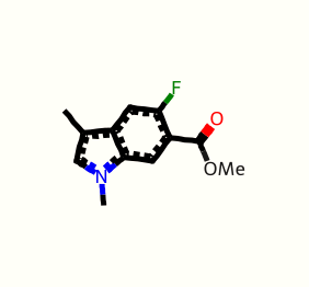 COC(=O)c1cc2c(cc1F)c(C)cn2C